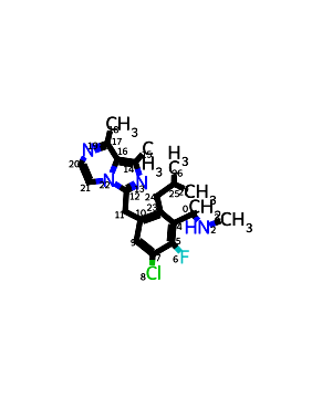 C=C(NC)c1c(F)c(Cl)cc(Cc2nc(C)c3c(C)nccn23)c1CC(C)C